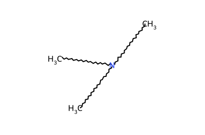 CCCCCCCCCCCCCCCCCCCCCCN(CCCCCCCCCCCCCCCCCCCCCC)CCCCCCCCCCCCCCCCCCCCCC